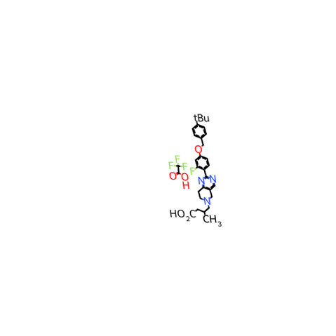 CC(CC(=O)O)CN1CCc2nc(-c3ccc(OCc4ccc(C(C)(C)C)cc4)cc3F)ncc2C1.O=C(O)C(F)(F)F